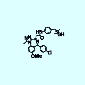 COc1ccc2c(c1)C(c1ccc(Cl)cc1)=N[C@@H](CC(=O)Nc1ccc(C[Si](C)(C)O)cc1)c1nnc(C)n1-2